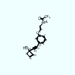 O=C(NCCOc1cccc(C#CC2(O)CCC2)c1)C(F)(F)F